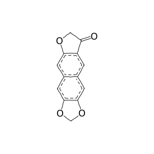 O=C1COc2cc3cc4c(cc3cc21)OCO4